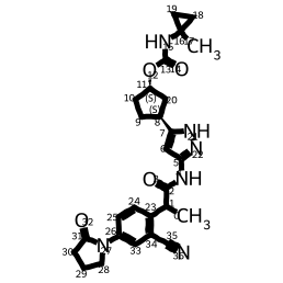 CC(C(=O)Nc1cc([C@H]2CC[C@H](OC(=O)NC3(C)CC3)C2)[nH]n1)c1ccc(N2CCCC2=O)cc1C#N